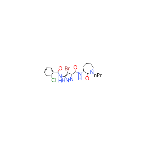 CCCN1CCCC[C@@H](NC(=O)c2n[nH]c(NC(=O)c3ccccc3Cl)c2Br)C1=O